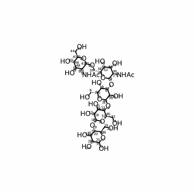 CC(=O)N[C@H]1[C@H](O[C@H]2[C@@H](O)[C@@H](CO)O[C@H](O[C@@H]3[C@H](O)[C@@H](O)[C@H](O[C@H]4[C@H](O)[C@@H](O)[C@H](O)O[C@@H]4CO)O[C@@H]3CO)[C@@H]2O)O[C@H](CO[C@@H]2O[C@H](CO)[C@@H](O)[C@H](O)[C@H]2NC(C)=O)[C@H](O)[C@@H]1O